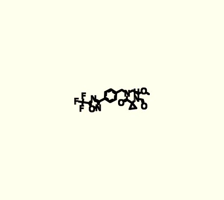 COCCN(Cc1ccc(-c2noc(C(F)(F)F)n2)cc1)C(=O)C1(NC=O)CC1